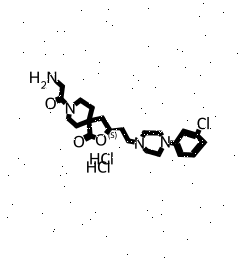 Cl.Cl.NCC(=O)N1CCC2(CC1)C[C@@H](CCN1CCN(c3cccc(Cl)c3)CC1)OC2=O